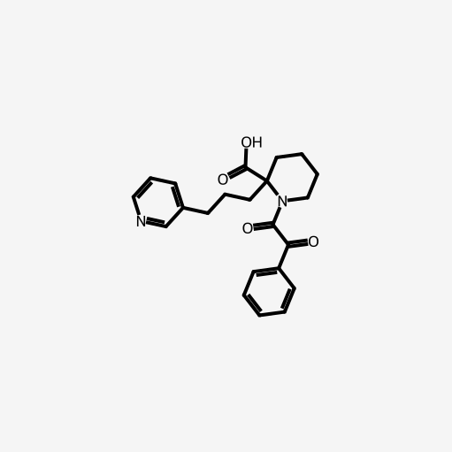 O=C(C(=O)N1CCCCC1(CCCc1cccnc1)C(=O)O)c1ccccc1